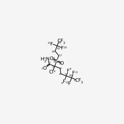 NC(=O)C(Cl)(CCC(F)(F)C(F)(F)C(F)(F)F)S(=O)(=O)CCC(F)(F)C(F)(F)F